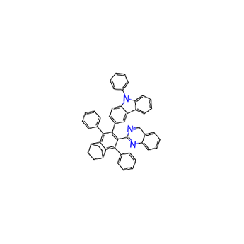 c1ccc(-c2c(-c3ccc4c(c3)c3ccccc3n4-c3ccccc3)c(-c3ncc4ccccc4n3)c(-c3ccccc3)c3c2C2CCC3CC2)cc1